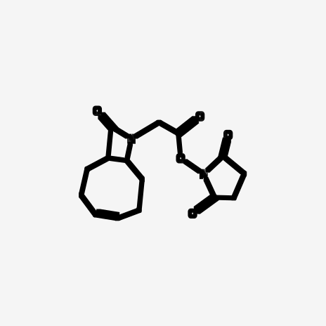 O=C(CN1C(=O)C2CCC=CCCC21)ON1C(=O)CCC1=O